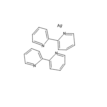 [Ag].c1ccc(-c2ccccn2)nc1.c1ccc(-c2ccccn2)nc1